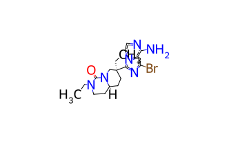 CCN1CC[C@@H]2CC[C@](CC)(c3nc(Br)c4c(N)nccn34)CN2C1=O